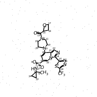 CC1(NS(=O)(=O)c2cc(N3CCN(C(=O)C4CCO4)CC3)c3cnc(-c4nnc(C(F)(F)F)s4)n3c2)CC1